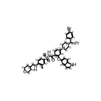 CCCC(c1ccc(Br)cc1)N1CCN(c2ccc(C(=O)NS(=O)(=O)c3ccc(NCC4CCOCC4)c(C)c3)c(Oc3ccc4[nH]ccc4c3)c2)CC1